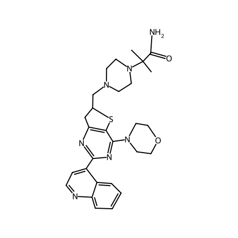 CC(C)(C(N)=O)N1CCN(CC2Cc3nc(-c4ccnc5ccccc45)nc(N4CCOCC4)c3S2)CC1